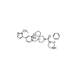 Cn1nccc1-c1ccn(C[C@]2(O)CCN(C(=O)N3CCNC[C@H]3c3ccccc3)CC23CCCC3)c(=O)c1